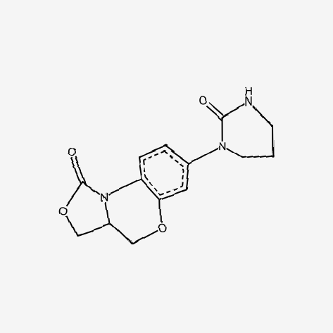 O=C1NCCCN1c1ccc2c(c1)OCC1COC(=O)N21